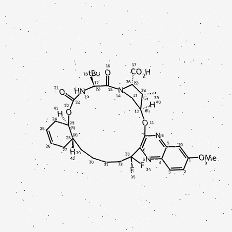 COc1ccc2nc3c(nc2c1)O[C@H]1CN(C(=O)[C@H](C(C)(C)C)NC(=O)O[C@@H]2CC=CC[C@H]2CCCCC3(F)F)[C@H](C(=O)O)[C@@H]1C